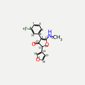 CNC1=C(c2cccc(F)c2)C(=O)C(c2ccoc2)O1